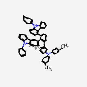 Cc1ccc(N(c2ccc(C)cc2)c2ccc(C)c(-c3cccc(-c4cccc5c4c4ccccc4n5-c4ccccc4)c3-c3ccc4c(c3)c3ccccc3n4-c3ccccc3)c2)cc1